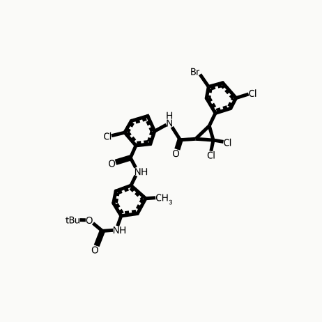 Cc1cc(NC(=O)OC(C)(C)C)ccc1NC(=O)c1cc(NC(=O)C2C(c3cc(Cl)cc(Br)c3)C2(Cl)Cl)ccc1Cl